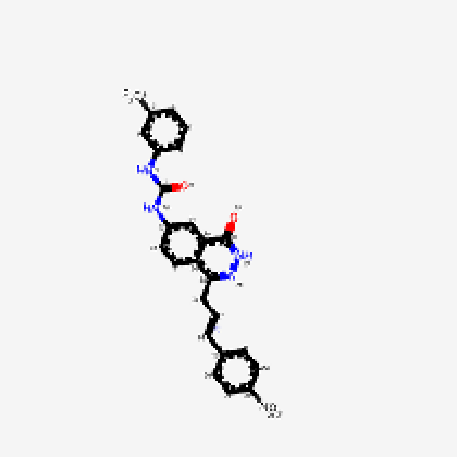 O=C(Nc1cccc(C(F)(F)F)c1)Nc1ccc2c(C/C=C/c3ccc([N+](=O)[O-])cc3)n[nH]c(=O)c2c1